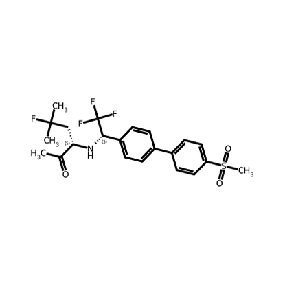 CC(=O)[C@H](CC(C)(C)F)N[C@@H](c1ccc(-c2ccc(S(C)(=O)=O)cc2)cc1)C(F)(F)F